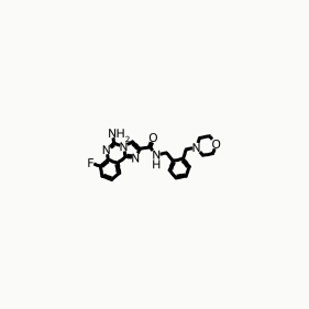 Nc1nc2c(F)cccc2c2nc(C(=O)NCc3ccccc3CN3CCOCC3)cn12